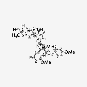 COc1ccc(CNc2nc3c(OC)cc(F)cc3c3nc(C4CCC(C)N(c5cn(CC(C)(C)O)nc5C)C4)nn23)c(OC)c1